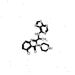 CC(Nc1ncnc2scnc12)c1nc2cccc(Cl)c2c(=O)n1N1CCNCC1